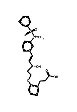 CN(c1cccc(/C=C/[C@H](O)CCOc2ccccc2CCC(=O)O)c1)S(=O)(=O)c1ccccc1